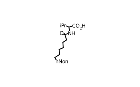 CCCCCCCCCCCCCCCC(=O)NC(C(=O)O)C(C)C